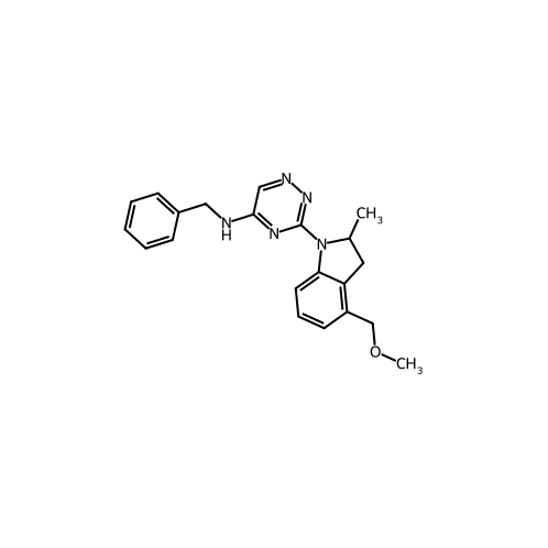 COCc1cccc2c1CC(C)N2c1nncc(NCc2ccccc2)n1